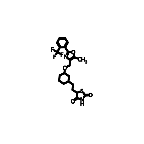 Cc1oc(-c2ccccc2C(F)(F)F)nc1COC1CCCC(CCC2SC(=O)NC2=O)C1